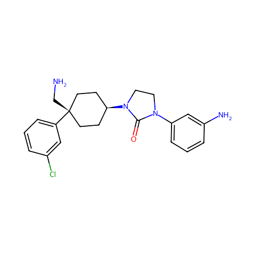 NC[C@]1(c2cccc(Cl)c2)CC[C@H](N2CCN(c3cccc(N)c3)C2=O)CC1